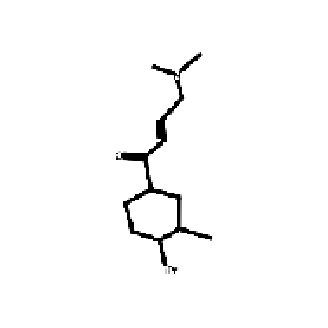 CC(C)C1CCC(C(=O)/C=C/CN(C)C)CC1C